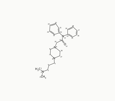 CN(C)CCCN1CCN(CC(=O)N(c2ccccc2)c2ccccc2)CC1